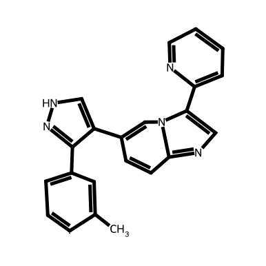 Cc1[c]ccc(-c2n[nH]cc2-c2ccc3ncc(-c4ccccn4)n3c2)c1